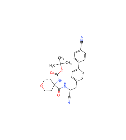 CC(C)(C)OC(=O)NC1(C(=O)NC(C#N)Cc2ccc(-c3ccc(C#N)cc3)cc2)CCOCC1